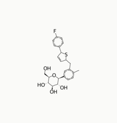 Cc1ccc([C@@H]2O[C@H](CO)[C@@H](O)[C@H](O)[C@H]2O)cc1CC1C=CC(c2ccc(F)cc2)S1